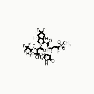 CC(C)(C)[C@@H](NC(=O)C(F)(F)F)C(=O)N1C[C@H]2CC(F)(F)C[C@H]2[C@H]1C(=O)N[C@H](/C=C(\F)S(C)(=O)=O)C[C@H]1CCNC1=O